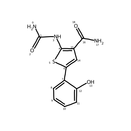 NC(=O)Nc1sc(-c2ccccc2O)cc1C(N)=O